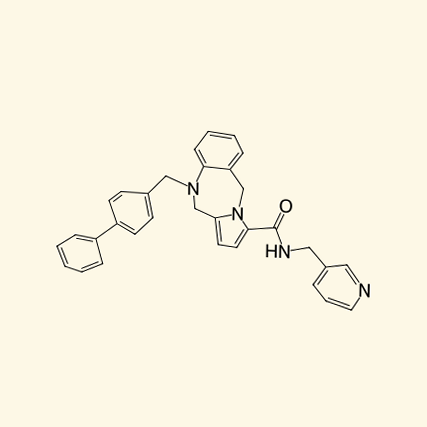 O=C(NCc1cccnc1)c1ccc2n1Cc1ccccc1N(Cc1ccc(-c3ccccc3)cc1)C2